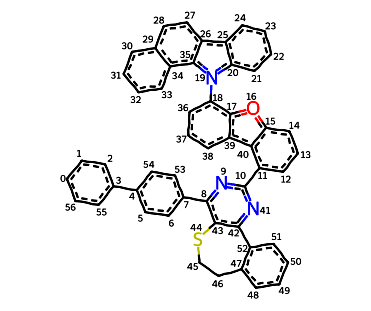 c1ccc(-c2ccc(-c3nc(-c4cccc5oc6c(-n7c8ccccc8c8ccc9ccccc9c87)cccc6c45)nc4c3SCCc3ccccc3-4)cc2)cc1